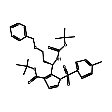 Cc1ccc(S(=O)(=O)n2ccc(C(=O)OC(C)(C)C)c2[C@@H](CCOCc2ccccc2)NC(=O)OC(C)(C)C)cc1